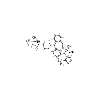 Cc1nccn1CC(C)(O)C1=Cc2cccnc2[C@@H](N2CCN(C(=O)NC(C)(C)C)CC2)c2ccc(Cl)cc21